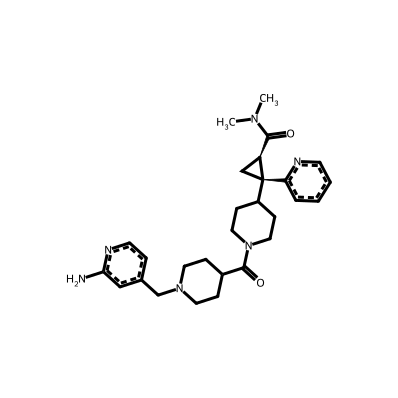 CN(C)C(=O)[C@@H]1C[C@@]1(c1ccccn1)C1CCN(C(=O)C2CCN(Cc3ccnc(N)c3)CC2)CC1